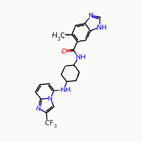 Cc1cc2nc[nH]c2cc1C(=O)NC1CCC(Nc2cccc3nc(C(F)(F)F)cn23)CC1